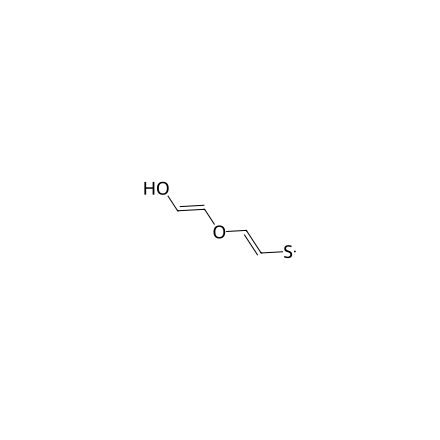 OC=COC=C[S]